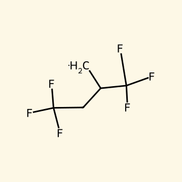 [CH2]C(CC(F)(F)F)C(F)(F)F